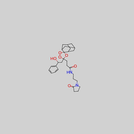 O=C(CCC1(CC(O)c2ccccc2)OOC2(O1)C1CC3CC(C1)CC2C3)NCCCN1CCCC1=O